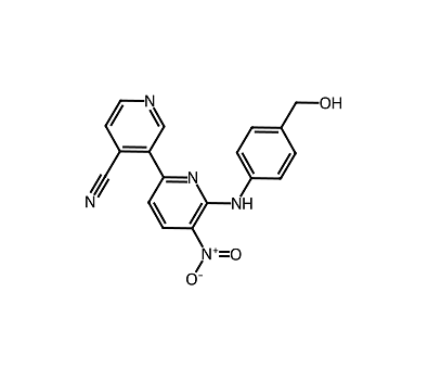 N#Cc1ccncc1-c1ccc([N+](=O)[O-])c(Nc2ccc(CO)cc2)n1